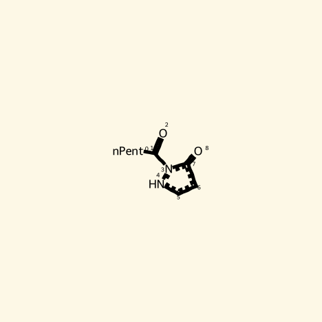 CCCCCC(=O)n1[nH]ccc1=O